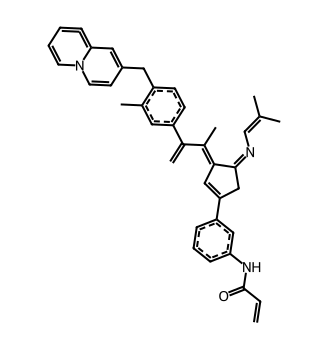 C=CC(=O)Nc1cccc(C2=CC(=C(/C)C(=C)c3ccc(CC4=CC5=C=CC=CN5C=C4)c(C)c3)/C(=N\C=C(C)C)C2)c1